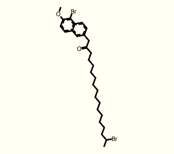 COc1ccc2cc(CC(=O)CCCCCCCCCCCCCCC(C)Br)ccc2c1Br